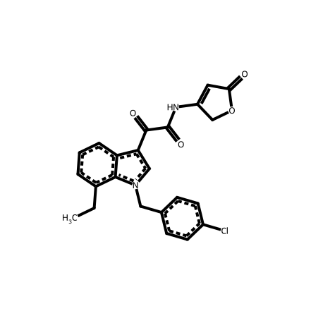 CCc1cccc2c(C(=O)C(=O)NC3=CC(=O)OC3)cn(Cc3ccc(Cl)cc3)c12